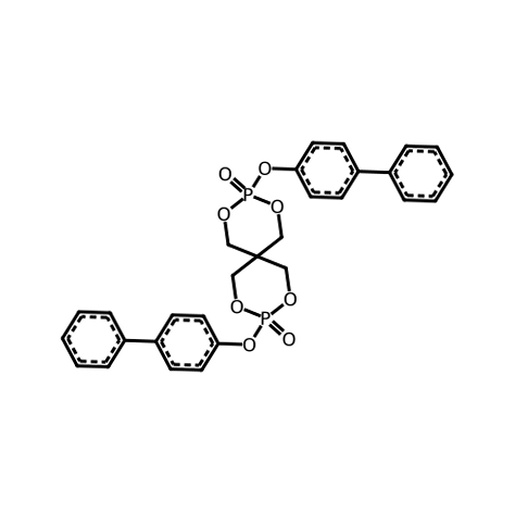 O=P1(Oc2ccc(-c3ccccc3)cc2)OCC2(CO1)COP(=O)(Oc1ccc(-c3ccccc3)cc1)OC2